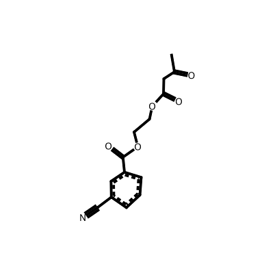 CC(=O)CC(=O)OCCOC(=O)c1cccc(C#N)c1